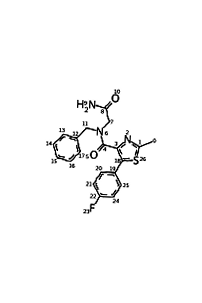 Cc1nc(C(=O)N(CC(N)=O)Cc2ccccc2)c(-c2ccc(F)cc2)s1